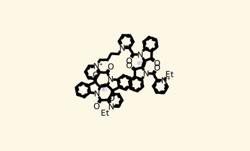 CC[n+]1ccccc1C(=O)N1/C(=C2\C(=O)c3ccccc3N2C(=O)c2cccc[n+]2CCCC[n+]2ccccc2C(=O)N2/C(=C3\C(=O)c4ccccc4N3C(=O)c3cccc[n+]3CC)C(=O)c3ccccc32)C(=O)c2ccccc21